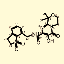 CC1(C)OCCn2c1nc(C(=O)NCc1cccc3c1S(=O)(=O)CC3)c(O)c2=O